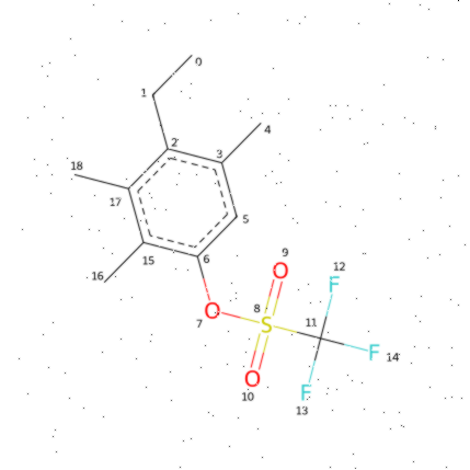 CCc1c(C)cc(OS(=O)(=O)C(F)(F)F)c(C)c1C